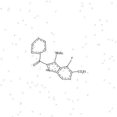 CCOC(=O)c1ccc2[nH]c(C(=O)c3ccccc3)c(NC(C)=O)c2c1F